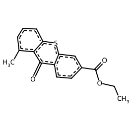 CCOC(=O)c1ccc2c(=O)c3c(C)cccc3sc2c1